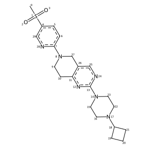 CS(=O)(=O)c1ccc(N2CCc3nc(N4CCN(C5CCC5)CC4)ncc3C2)nc1